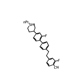 CCC[SiH]1CCC(c2ccc(-c3ccc(CCc4ccc(C#N)c(F)c4)cc3)c(F)c2)CC1